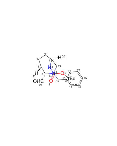 CC(C)(C)OC(=O)N1[C@H]2CC[C@H]1[C@@H](C=O)N(Cc1ccccc1)C2